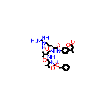 Cc1cc(=O)oc2cc(NC(=O)[C@H](CCCNC(=N)N)NC(=O)[C@@H](NC(=O)[C@@H](NC(=O)OCc3ccccc3)C(C)C)C(C)C)ccc12